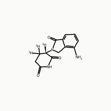 [2H]C1([2H])CC(=O)NC(=O)[C@@]1([2H])N1Cc2c(N)cccc2C1=O